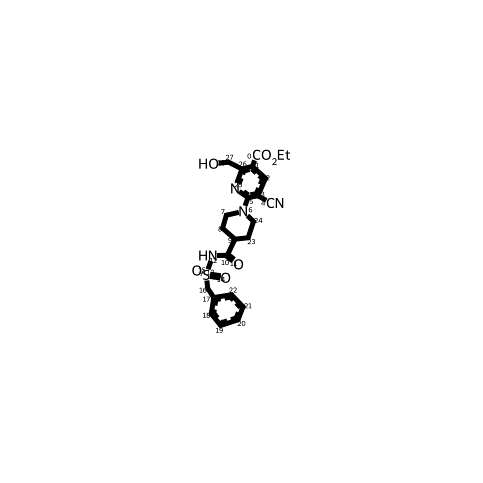 CCOC(=O)c1cc(C#N)c(N2CCC(C(=O)NS(=O)(=O)Cc3ccccc3)CC2)nc1CO